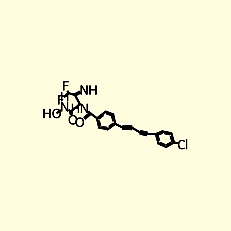 N=C(C(F)F)[C@H](NC(=O)c1ccc(C#CC#Cc2ccc(Cl)cc2)cc1)C(=O)NO